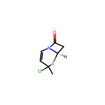 CC1(Cl)C=CN2C(=O)C[C@H]2S1